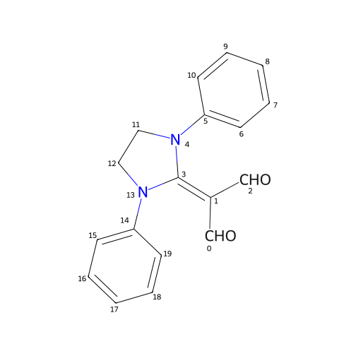 O=CC(C=O)=C1N(c2ccccc2)CCN1c1ccccc1